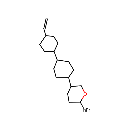 C=CC1CCC(C2CCC(C3CCC(CCC)OC3)CC2)CC1